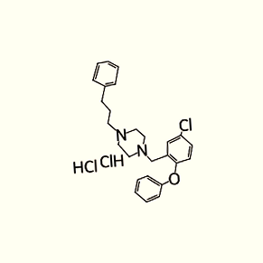 Cl.Cl.Clc1ccc(Oc2ccccc2)c(CN2CCN(CCCc3ccccc3)CC2)c1